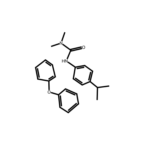 CC(C)c1ccc(NC(=O)N(C)C)cc1.c1ccc(Oc2ccccc2)cc1